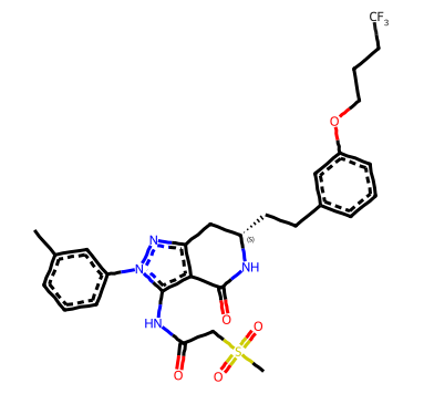 Cc1cccc(-n2nc3c(c2NC(=O)CS(C)(=O)=O)C(=O)N[C@@H](CCc2cccc(OCCCC(F)(F)F)c2)C3)c1